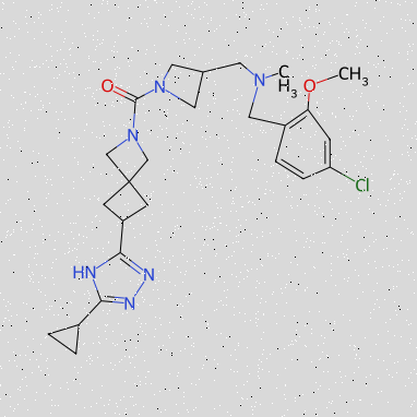 COc1cc(Cl)ccc1CN(C)CC1CN(C(=O)N2CC3(CC(c4nnc(C5CC5)[nH]4)C3)C2)C1